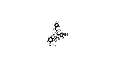 Cc1cccc(S(=O)(=O)n2nc3c(c2NC(=O)Cc2ccsc2)CNC3)c1